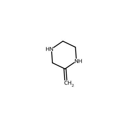 C=C1CNCCN1